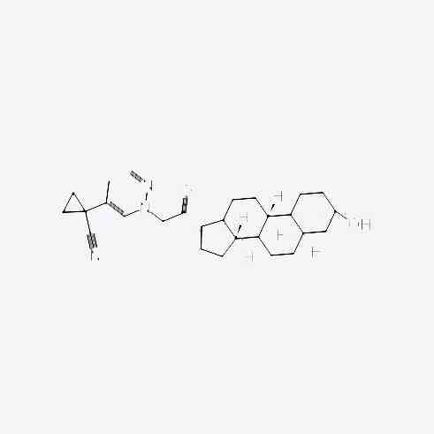 C=NN(/C=C(\C)C1(C#N)CC1)CC(=O)[C@H]1CC[C@H]2[C@@H]3CC[C@@H]4C[C@](C)(O)CC[C@]4(F)[C@H]3CC[C@]12C